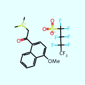 COc1ccc(C(=O)C[S+](C)C)c2ccccc12.O=S(=O)([O-])C(F)(F)C(F)(F)C(F)(F)C(F)(F)F